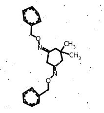 CC1(C)C/C(=N/OCc2ccccc2)C/C(=N/OCc2ccccc2)C1